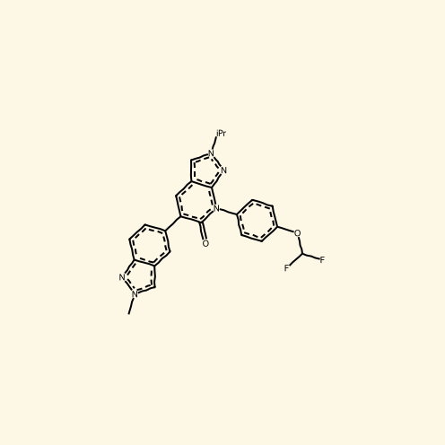 CC(C)n1cc2cc(-c3ccc4nn(C)cc4c3)c(=O)n(-c3ccc(OC(F)F)cc3)c2n1